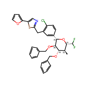 C[C@H]1[C@H](OCc2ccccc2)[C@@H](OCc2ccccc2)[C@H](c2ccc(Cl)c(Cc3ncc(-c4ccco4)s3)c2)O[C@@H]1C(F)F